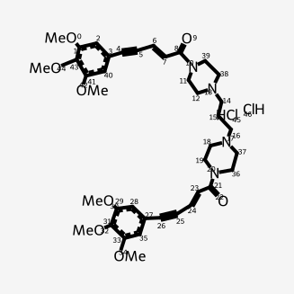 COc1cc(C#CC=CC(=O)N2CCN(CCCN3CCN(C(=O)C=CC#Cc4cc(OC)c(OC)c(OC)c4)CC3)CC2)cc(OC)c1OC.Cl.Cl